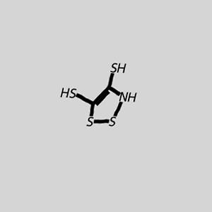 SC1=C(S)SSN1